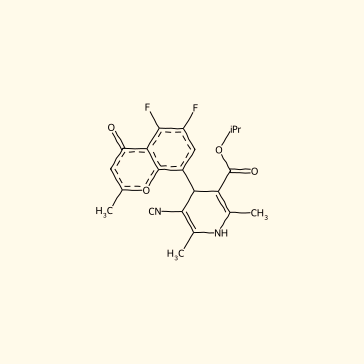 [C-]#[N+]C1=C(C)NC(C)=C(C(=O)OC(C)C)C1c1cc(F)c(F)c2c(=O)cc(C)oc12